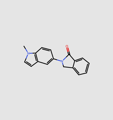 Cn1ccc2cc(N3Cc4ccccc4C3=O)ccc21